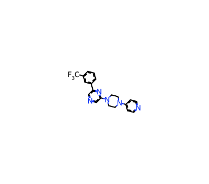 FC(F)(F)c1cccc(-c2cncc(N3CCN(c4ccncc4)CC3)n2)c1